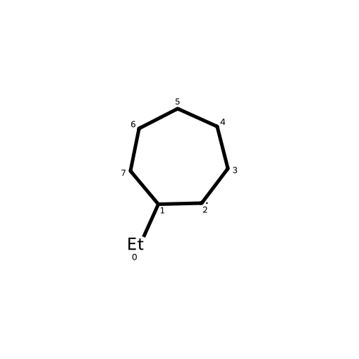 CCC1[CH]CCCCC1